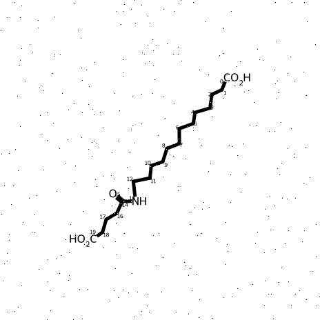 O=C(O)CCCCCCCCCCCCNC(=O)CCCC(=O)O